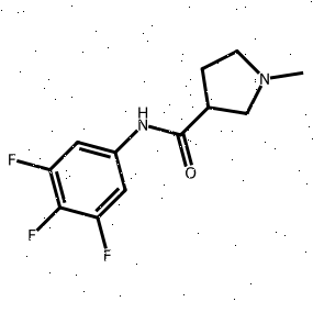 CN1CCC(C(=O)Nc2cc(F)c(F)c(F)c2)C1